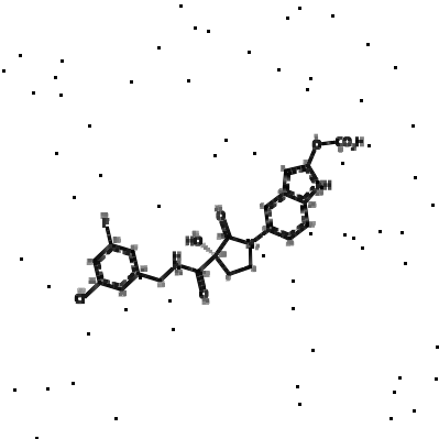 O=C(O)Oc1cc2cc(N3CC[C@@](O)(C(=O)NCc4cc(F)cc(Cl)c4)C3=O)ccc2[nH]1